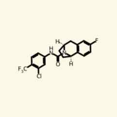 O=C(Nc1ccc(C(F)(F)F)c(Cl)c1)N1[C@H]2CC[C@@H]1c1ccc(F)cc1C2